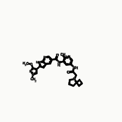 COc1nn(C)cc1-c1cc2cc(C(=O)Nc3cc(NC(=O)CN4CCCC45CCC5)cnc3C)cnc2[nH]1